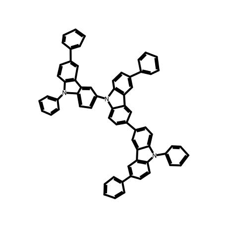 c1ccc(-c2ccc3c(c2)c2cc(-c4ccc5c(c4)c4cc(-c6ccccc6)ccc4n5-c4ccc5c(c4)c4cc(-c6ccccc6)ccc4n5-c4ccccc4)ccc2n3-c2ccccc2)cc1